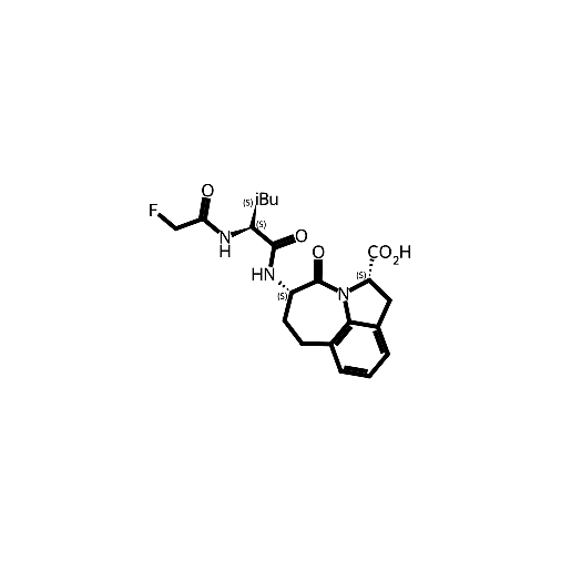 CC[C@H](C)[C@H](NC(=O)CF)C(=O)N[C@H]1CCc2cccc3c2N(C1=O)[C@H](C(=O)O)C3